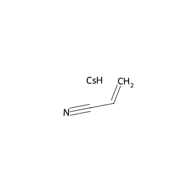 C=CC#N.[CsH]